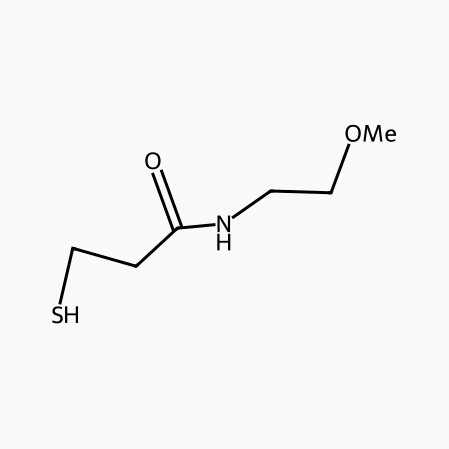 COCCNC(=O)CCS